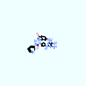 CNc1nc(Nc2ccc(NC(=O)Nc3cccnc3)cc2)nc(Nc2ccc3c(c2)CN(C)C3=O)c1C=N